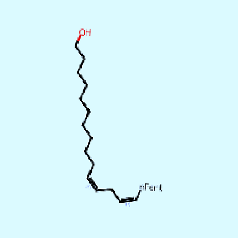 CCCCC/C=C\C/C=C\CCCCCCCCCCO